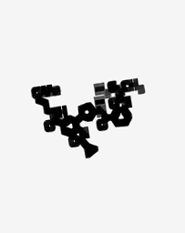 COCCCNC(=O)c1cc(C2CCC(NC(=O)c3cccc4nc(N(C)C)oc34)C2)c2nc(C3CC3)oc2c1